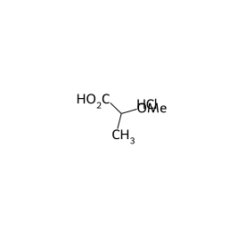 COC(C)C(=O)O.Cl